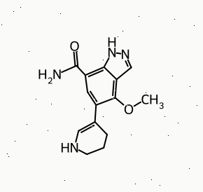 COc1c(C2=CNCCC2)cc(C(N)=O)c2[nH]ncc12